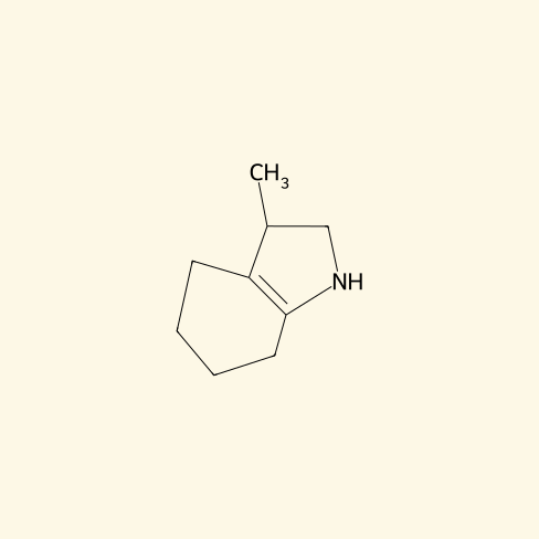 CC1CNC2=C1CCCC2